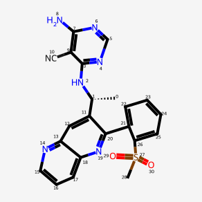 C[C@@H](Nc1ncnc(N)c1C#N)c1cc2ncccc2nc1-c1ccccc1S(C)(=O)=O